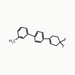 [CH2]c1cccc(-c2ccc(C3=CCC(F)(F)CC3)cc2)c1